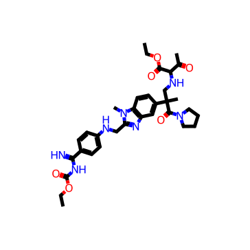 CCOC(=O)NC(=N)c1ccc(NCc2nc3cc(C(C)(CNC(C(C)=O)C(=O)OCC)C(=O)N4CCCC4)ccc3n2C)cc1